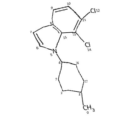 CC1CCC(n2ccc3ccc(Cl)c(Cl)c32)CC1